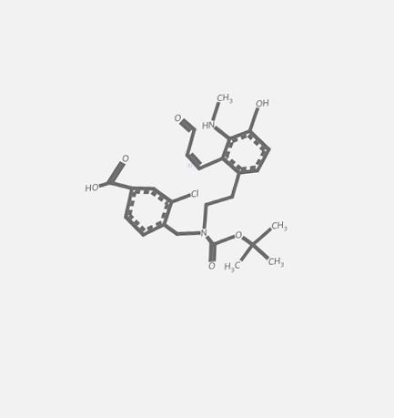 CNc1c(O)ccc(CCN(Cc2ccc(C(=O)O)cc2Cl)C(=O)OC(C)(C)C)c1/C=C\C=O